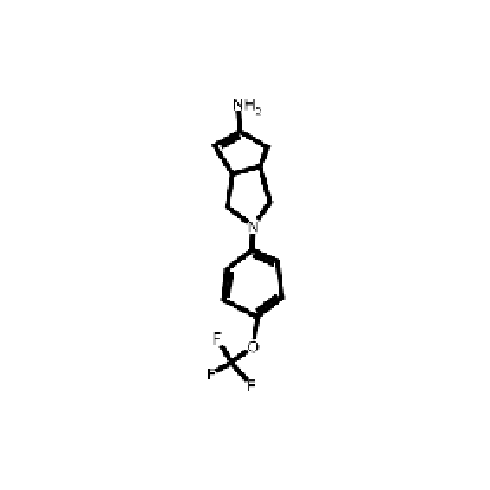 NC1=CC2CN(c3ccc(OC(F)(F)F)cc3)CC2C1